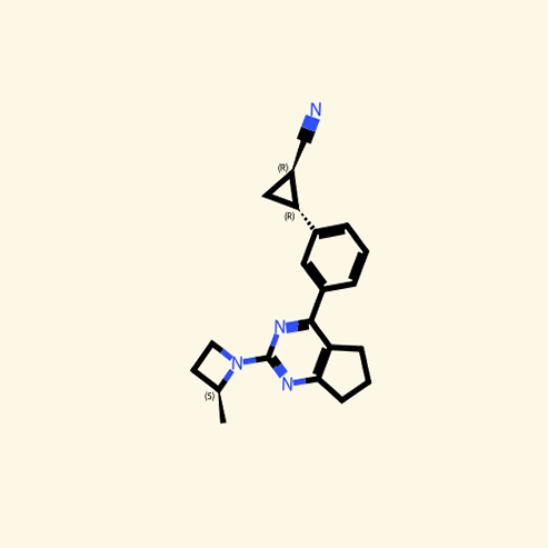 C[C@H]1CCN1c1nc2c(c(-c3cccc([C@@H]4C[C@H]4C#N)c3)n1)CCC2